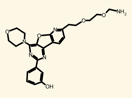 NCOCCOCCc1ccc2c(n1)oc1c(N3CCOCC3)nc(-c3cccc(O)c3)nc12